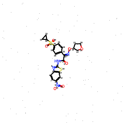 O=C(Nc1nc2ccc([N+](=O)[O-])cc2s1)/C(=N/O[C@@H]1CCOC1)c1ccc(S(=O)(=O)C2CC2)cc1